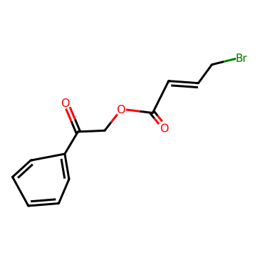 O=C(/C=C/CBr)OCC(=O)c1ccccc1